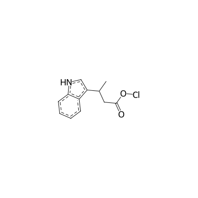 CC(CC(=O)OCl)c1c[nH]c2ccccc12